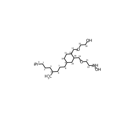 CC(C)CCCC(C)CCCC1CCC(COCCO)C(COCCNO)C1